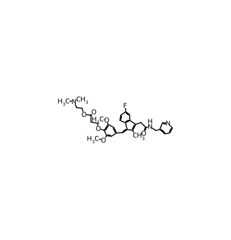 COc1cc(/C=C2/C(C)=C(CC(=O)NCc3cccnc3)c3cc(F)ccc32)cc(OC)c1OCCC(=O)OCCN(C)C